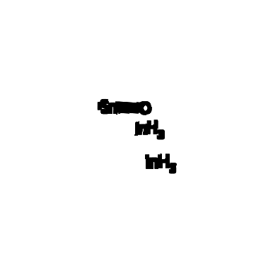 [InH3].[InH3].[O]=[Sn]